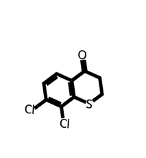 O=C1CCSc2c1ccc(Cl)c2Cl